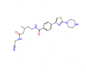 CC(CCNC(=O)c1ccc(-c2csc(N3CCNCC3)n2)cc1)CC(=O)NCC#N